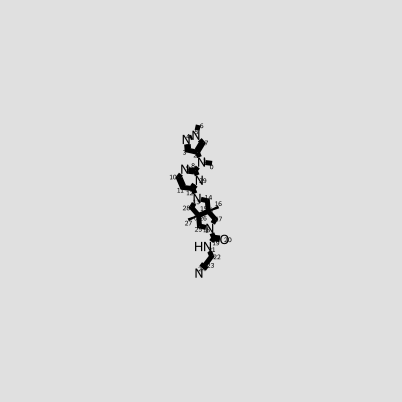 CN(c1cnn(C)c1)c1nccc(N2C[C@]3(C)CN(C(=O)NCC#N)C[C@]3(C)C2)n1